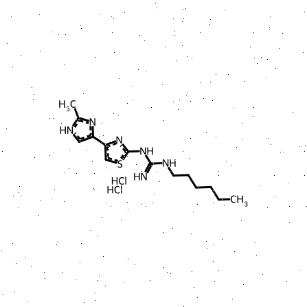 CCCCCCNC(=N)Nc1nc(-c2c[nH]c(C)n2)cs1.Cl.Cl